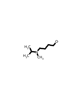 CC(C)N(C)CCCC[O]